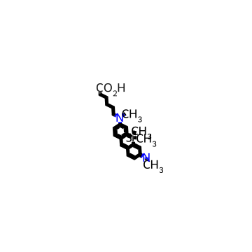 C/N=C1\C=CC2=Cc3ccc(N(C)CCCCCC(=O)O)cc3[Si](C)(C)C2=C1